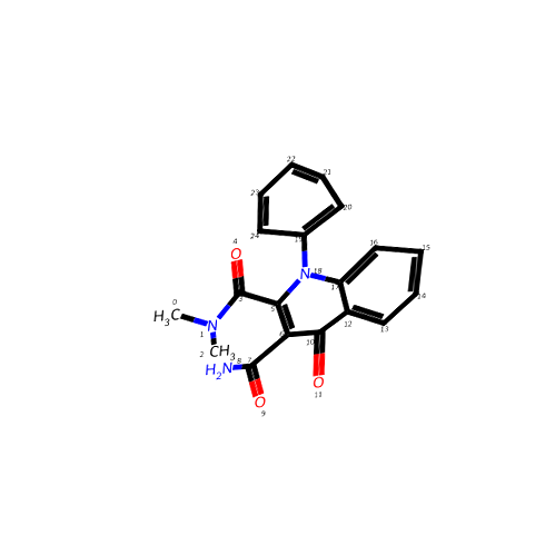 CN(C)C(=O)c1c(C(N)=O)c(=O)c2ccccc2n1-c1ccccc1